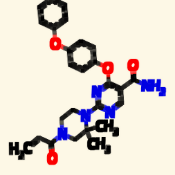 C=CC(=O)N1CCN(c2ncc(C(N)=O)c(Oc3ccc(Oc4ccccc4)cc3)n2)C(C)(C)C1